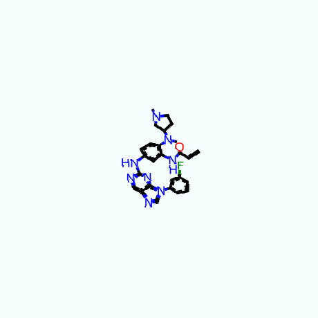 C=CC(=O)Nc1cc(Nc2ncc3ncn(-c4cccc(F)c4)c3n2)ccc1N(C)C1CCN(C)C1